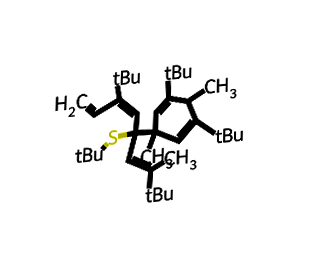 C=C/C(=C\C(/C=C(\C)C(C)(C)C)(SC(C)(C)C)C1(C)C=C(C(C)(C)C)C(C)C(C(C)(C)C)=C1)C(C)(C)C